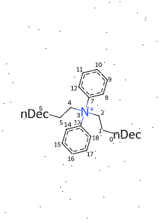 CCCCCCCCCCCC[N+](CCCCCCCCCCCC)(c1ccccc1)c1ccccc1